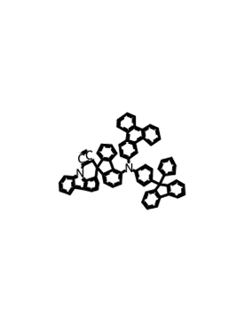 c1ccc(C2(c3ccc(N(c4ccc5c6ccccc6c6ccccc6c5c4)c4cccc5c4-c4ccccc4C54c5ccccc5-n5c6ccccc6c6cccc4c65)cc3)c3ccccc3-c3ccccc32)cc1